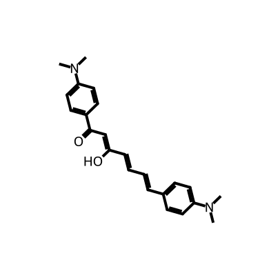 CN(C)c1ccc(/C=C/C=C/C(O)=C/C(=O)c2ccc(N(C)C)cc2)cc1